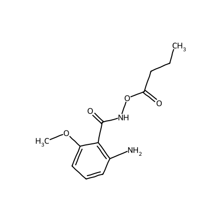 CCCC(=O)ONC(=O)c1c(N)cccc1OC